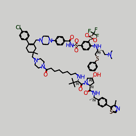 Cc1ncsc1-c1ccc([C@H](C)NC(=O)[C@@H]2C[C@@H](O)CN2C(=O)[C@@H](NCCCCCCCC(=O)N2CCN(CC3(C)CCC(c4ccc(Cl)cc4)=C(CN4CCN(c5ccc(C(=O)NS(=O)(=O)c6ccc(N[C@H](CCN(C)C)CSc7ccccc7)c(S(=O)(=O)C(F)(F)F)c6)cc5)CC4)C3)CC2)C(C)(C)C)cc1